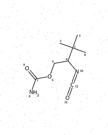 CC(C)(C)C(COC(N)=O)N=C=O